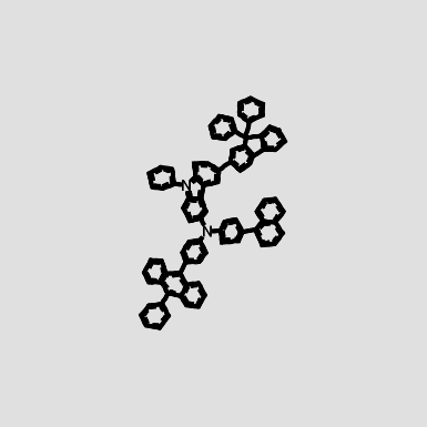 c1ccc(-c2c3ccccc3c(-c3ccc(N(c4ccc(-c5cccc6ccccc56)cc4)c4ccc5c(c4)c4cc(-c6ccc7c(c6)C(c6ccccc6)(c6ccccc6)c6ccccc6-7)ccc4n5-c4ccccc4)cc3)c3ccccc23)cc1